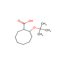 CC(C)(C)OC1CCCCCCC1C(=O)O